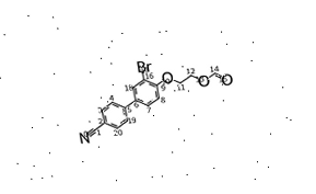 N#Cc1ccc(-c2ccc(OCCOC=O)c(Br)c2)cc1